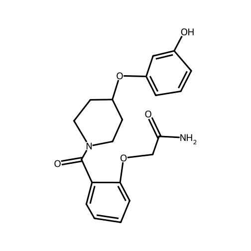 NC(=O)COc1ccccc1C(=O)N1CCC(Oc2cccc(O)c2)CC1